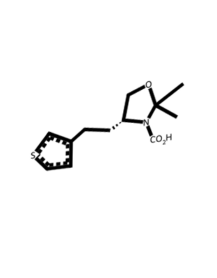 CC1(C)OC[C@@H](CCc2ccsc2)N1C(=O)O